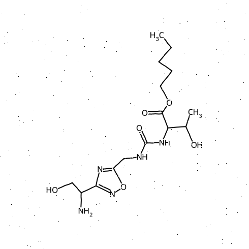 CCCCCOC(=O)C(NC(=O)NCc1nc(C(N)CO)no1)C(C)O